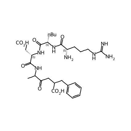 CCCC[C@H](NC(=O)[C@@H](N)CCCNC(=N)N)C(=O)N[C@@H](CC(=O)O)C(=O)NC(C)C(=O)CC(Cc1ccccc1)C(=O)O